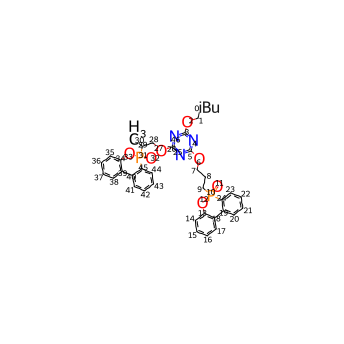 CCC(C)COc1nc(OCCCP2(=O)Oc3ccccc3-c3ccccc32)nc(OCC(C)P2(=O)Oc3ccccc3-c3ccccc32)n1